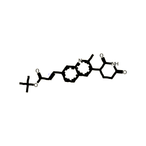 Cc1nc2cc(/C=C/C(=O)OC(C)(C)C)ccc2cc1C1CCC(=O)NC1=O